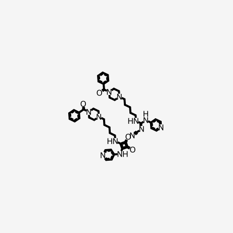 N#C/N=C(\NCCCCCN1CCN(C(=O)c2ccccc2)CC1)Nc1ccncc1.O=C(c1ccccc1)N1CCN(CCCCCNc2c(Nc3ccncc3)c(=O)c2=O)CC1